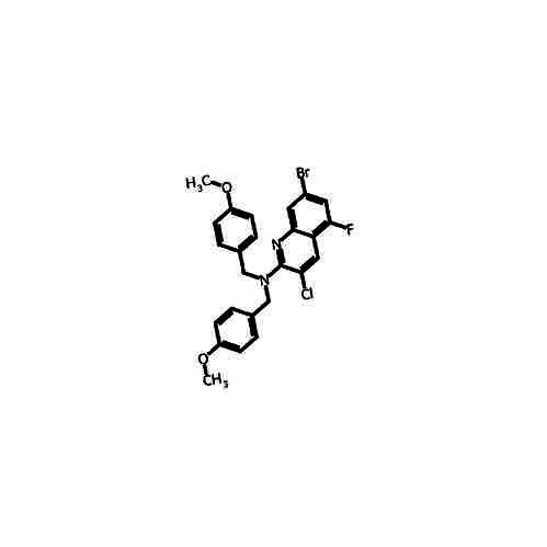 COc1ccc(CN(Cc2ccc(OC)cc2)c2nc3cc(Br)cc(F)c3cc2Cl)cc1